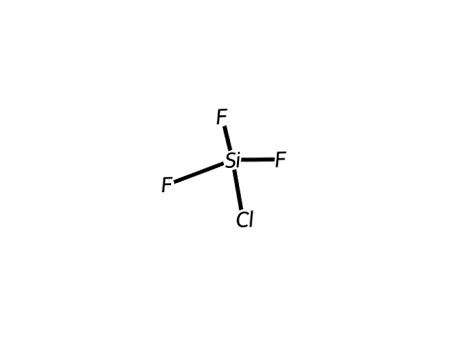 F[Si](F)(F)Cl